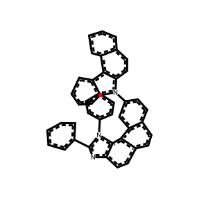 c1ccc(-c2nc3ccc4ccc5ccc(-n6c7ccccc7c7c8ccccc8ccc76)cc5c4c3n2-c2ccccc2)cc1